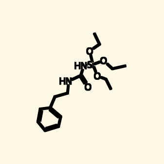 CCO[Si](NC(=O)NCCc1ccccc1)(OCC)OCC